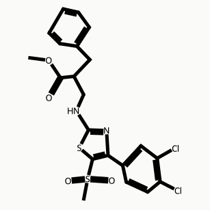 COC(=O)C(CNc1nc(-c2ccc(Cl)c(Cl)c2)c(S(C)(=O)=O)s1)Cc1ccccc1